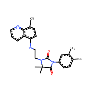 CC1(C)C(=O)N(c2ccc(C#N)c(C(F)(F)F)c2)C(=O)N1CCNc1ccc(C#N)c2ncccc12